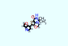 CC1(C)NC(=O)C2=C3C(OCCN31)C(c1ccnc3ccoc13)S2